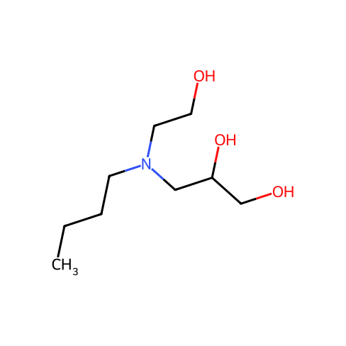 CCCCN(CCO)CC(O)CO